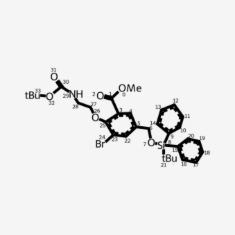 COC(=O)c1cc(CO[Si](c2ccccc2)(c2ccccc2)C(C)(C)C)cc(Br)c1OCCNC(=O)OC(C)(C)C